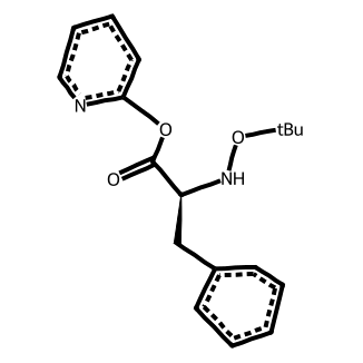 CC(C)(C)ON[C@@H](Cc1ccccc1)C(=O)Oc1ccccn1